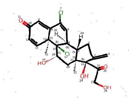 C=C1C[C@H]2[C@@H]3C=C(Cl)C4=CC(=O)C=C[C@]4(C)[C@@]3(Cl)[C@@H](O)C[C@]2(C)[C@@]1(O)C(=O)CO